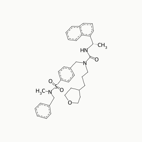 C[C@H](NC(=O)N(CCCC1CCOCC1)Cc1ccc(S(=O)(=O)N(C)Cc2ccccc2)cc1)c1cccc2ccccc12